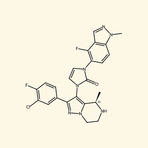 C[C@H]1NCCn2nc(-c3ccc(F)c(Cl)c3)c(-n3ccn(-c4ccc5c(cnn5C)c4F)c3=O)c21